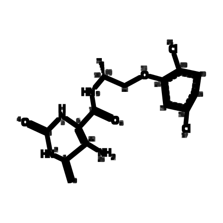 C=C1NC(=O)NC(C(=O)N[C@H](C)COc2cc(Cl)ccc2Cl)=C1N